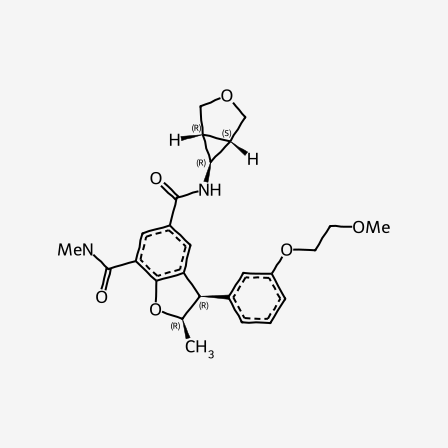 CNC(=O)c1cc(C(=O)N[C@H]2[C@@H]3COC[C@@H]32)cc2c1O[C@H](C)[C@@H]2c1cccc(OCCOC)c1